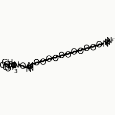 CC(C)(C)OC(=O)N1CCN(CCOCc2cn(CCOCCOCCOCCOCCOCCOCCOCCOCCOCCOCCOCCN=[N+]=[N-])nn2)CC1